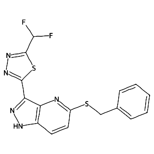 FC(F)c1nnc(-c2n[nH]c3ccc(SCc4ccccc4)nc23)s1